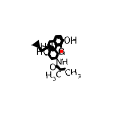 CCC(C)C(=O)N[C@@H]1CC[C@@]2(O)[C@H]3Cc4ccc(O)c5c4[C@@]2(CCN3CC2CC2)[C@H]1O5